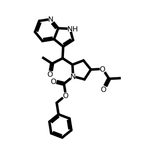 CC(=O)OC1CC(C(C(C)=O)c2c[nH]c3ncccc23)N(C(=O)OCc2ccccc2)C1